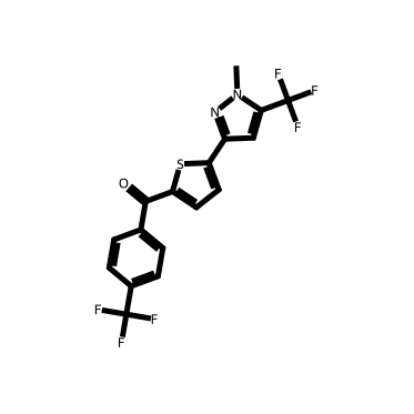 Cn1nc(-c2ccc(C(=O)c3ccc(C(F)(F)F)cc3)s2)cc1C(F)(F)F